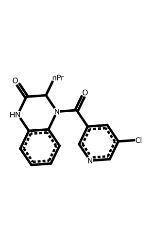 CCCC1C(=O)Nc2ccccc2N1C(=O)c1cncc(Cl)c1